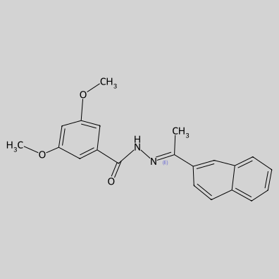 COc1cc(OC)cc(C(=O)N/N=C(\C)c2ccc3ccccc3c2)c1